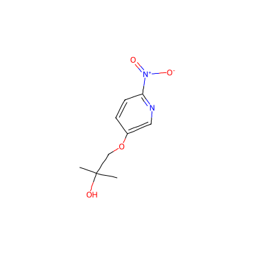 CC(C)(O)COc1ccc([N+](=O)[O-])nc1